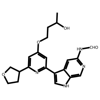 CC(O)CCOc1cc(-c2c[nH]c3cnc(NC=O)cc23)nc(C2CCOC2)c1